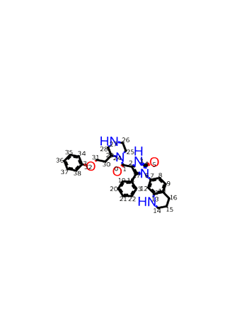 O=C(c1[nH]c(=O)n(-c2ccc3c(c2)NCCC3)c1-c1ccccc1)N1CCNCC1CCOc1ccccc1